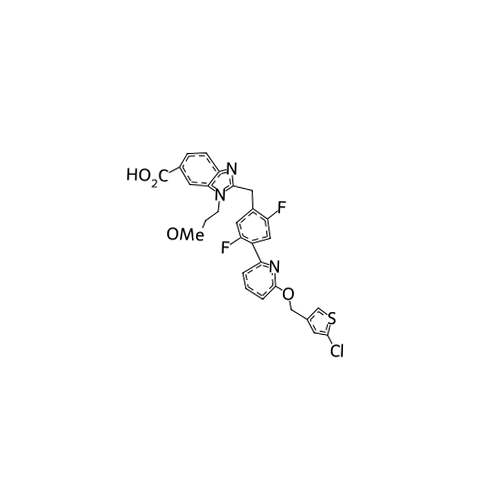 COCCn1c(Cc2cc(F)c(-c3cccc(OCc4csc(Cl)c4)n3)cc2F)nc2ccc(C(=O)O)cc21